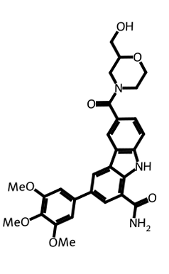 COc1cc(-c2cc(C(N)=O)c3[nH]c4ccc(C(=O)N5CCOC(CO)C5)cc4c3c2)cc(OC)c1OC